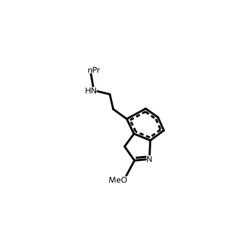 CCCNCCc1cccc2c1CC(OC)=N2